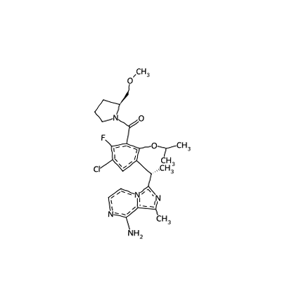 COC[C@@H]1CCCN1C(=O)c1c(F)c(Cl)cc([C@H](C)c2nc(C)c3c(N)nccn23)c1OC(C)C